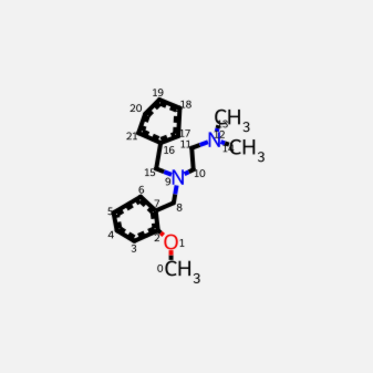 COc1ccccc1CN(CCN(C)C)Cc1ccccc1